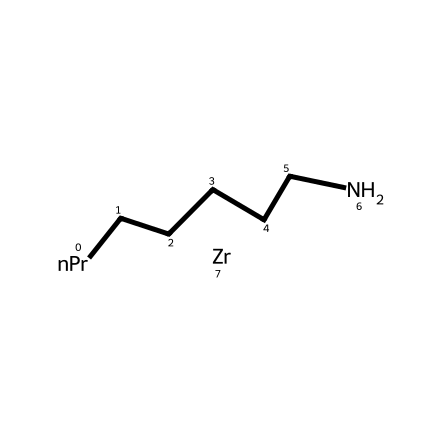 CCCCCCCCN.[Zr]